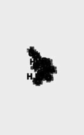 CC(C)(C)OC(=O)NC(Cc1ccc(OC(C)(C)C)cc1)C(CC=CC(O[Si](C)(C)C(C)(C)C)C(Cc1ccccc1)C(=O)OC(Cc1ccccc1)C(N)=O)O[Si](C)(C)C(C)(C)C